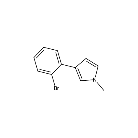 Cn1ccc(-c2ccccc2Br)c1